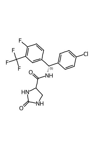 O=C1NCC(C(=O)N[C@@H](c2ccc(Cl)cc2)c2ccc(F)c(C(F)(F)F)c2)N1